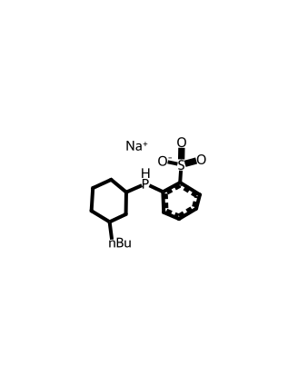 CCCCC1CCCC(Pc2ccccc2S(=O)(=O)[O-])C1.[Na+]